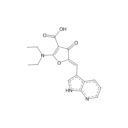 CCN(CC)C1=C(C(=O)O)C(=O)/C(=C/c2c[nH]c3ncccc23)O1